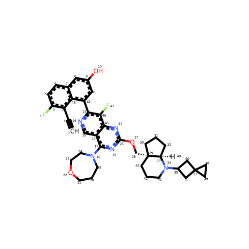 C#Cc1c(F)ccc2cc(O)cc(-c3ncc4c(N5CCCOCC5)nc(OC[C@]56CCC[C@H]5N(C5CC7(CC7)C5)CCC6)nc4c3F)c12